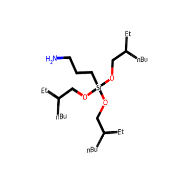 CCCCC(CC)CO[Si](CCCN)(OCC(CC)CCCC)OCC(CC)CCCC